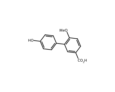 COc1ccc(C(=O)O)cc1-c1ccc(O)cc1